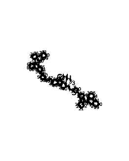 CC1(C)c2cc(/C=C/c3ccc(-c4ccc5c(c4)c4ccccc4n5-c4cc5ccccc5c5ccccc45)s3)ccc2-c2ccc(/C=C/c3ccc(-c4ccc5c(c4)c4ccccc4n5-c4cc5ccccc5c5ccccc45)s3)cc21